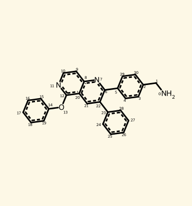 NCc1ccc(-c2nc3ccnc(Oc4ccccc4)c3cc2-c2ccccc2)cc1